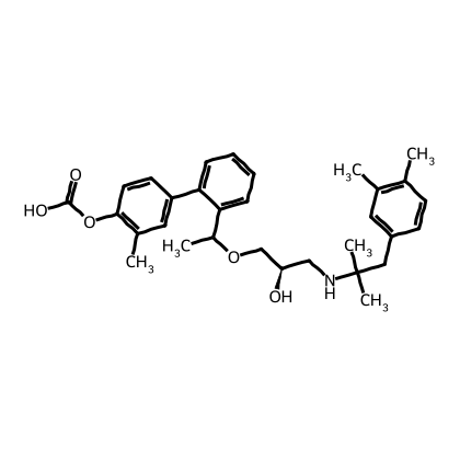 Cc1ccc(CC(C)(C)NC[C@@H](O)COC(C)c2ccccc2-c2ccc(OC(=O)O)c(C)c2)cc1C